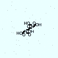 O=C(O)CN(CCCCN(CC(=O)O)CC(=O)O)CC(=O)O